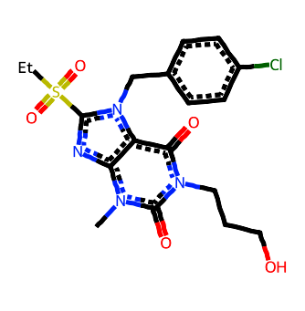 CCS(=O)(=O)c1nc2c(c(=O)n(CCCO)c(=O)n2C)n1Cc1ccc(Cl)cc1